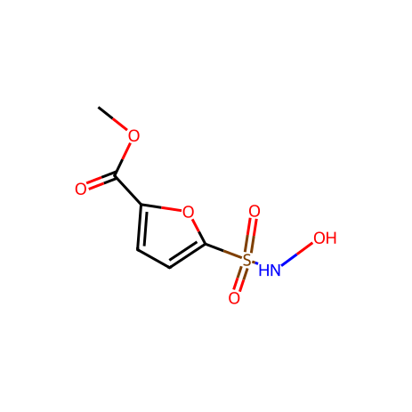 COC(=O)c1ccc(S(=O)(=O)NO)o1